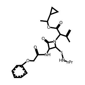 C=C(C)C(C(=O)OC(C)C1CC1)N1C(=O)C(NC(=O)COc2ccccc2)C1SNCCC